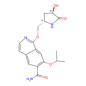 CC(C)Oc1cc2c(OC[C@@H]3C[C@@H](O)C(=O)N3)nccc2cc1C(N)=O